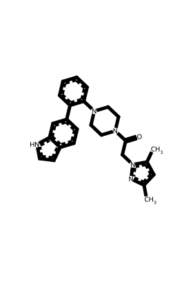 Cc1cc(C)n(CC(=O)N2CCN(c3ccccc3-c3ccc4cc[nH]c4c3)CC2)n1